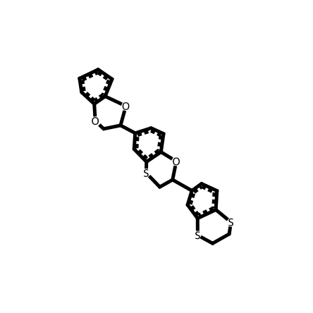 c1ccc2c(c1)OCC(c1ccc3c(c1)SCC(c1ccc4c(c1)SCCS4)O3)O2